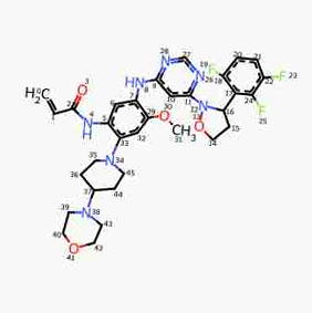 C=CC(=O)Nc1cc(Nc2cc(N3OCCC3c3c(F)ccc(F)c3F)ncn2)c(OC)cc1N1CCC(N2CCOCC2)CC1